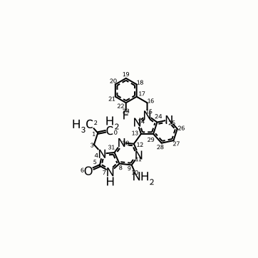 C=C(C)Cn1c(=O)[nH]c2c(N)nc(-c3nn(Cc4ccccc4F)c4ncccc34)nc21